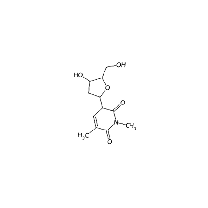 CC1=CC(C2CC(O)C(CO)O2)C(=O)N(C)C1=O